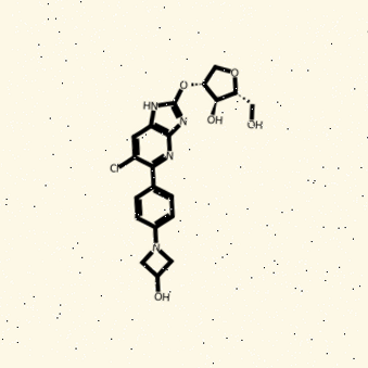 OC[C@H]1OC[C@@H](Oc2nc3nc(-c4ccc(N5CC(O)C5)cc4)c(Cl)cc3[nH]2)[C@@H]1O